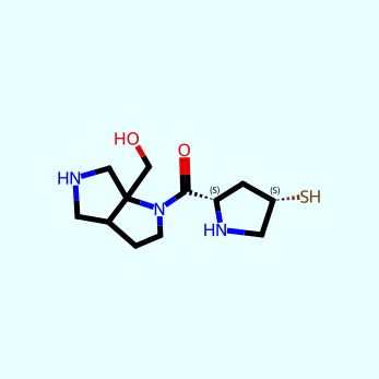 O=C([C@@H]1C[C@H](S)CN1)N1CCC2CNCC21CO